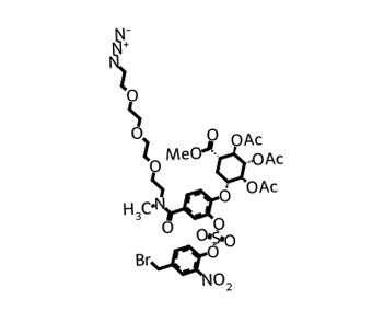 COC(=O)[C@H]1C[C@@H](Oc2ccc(C(=O)N(C)CCOCCOCCOCCN=[N+]=[N-])cc2OS(=O)(=O)Oc2ccc(CBr)cc2[N+](=O)[O-])[C@H](OC(C)=O)[C@@H](OC(C)=O)[C@@H]1OC(C)=O